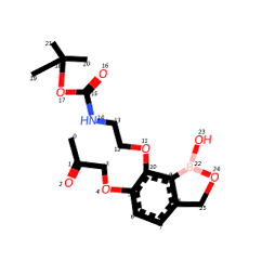 CC(=O)COc1ccc2c(c1OCCNC(=O)OC(C)(C)C)B(O)OC2